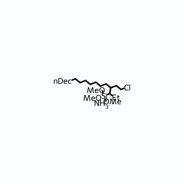 CCCCCCCCCCCCCCCCCC(CCCl)C(CC)[Si](OC)(OC)OC.N